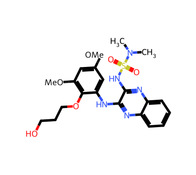 COc1cc(Nc2nc3ccccc3nc2NS(=O)(=O)N(C)C)c(OCCCO)c(OC)c1